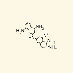 Nc1ccc2cc(Nc3cc(N)c4cccc(N)c4c3)cc(N)c2c1N